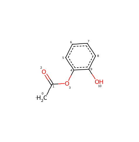 [CH2]C(=O)Oc1ccccc1O